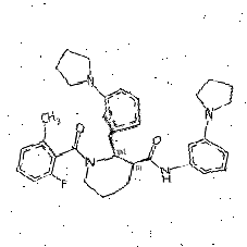 Cc1cccc(F)c1C(=O)N1CCC[C@H](C(=O)Nc2cccc(N3CCCC3)c2)[C@@H]1c1cccc(N2CCCC2)c1